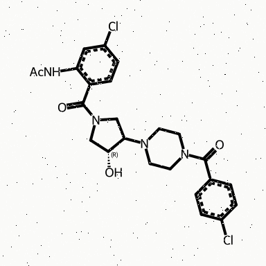 CC(=O)Nc1cc(Cl)ccc1C(=O)N1CC(N2CCN(C(=O)c3ccc(Cl)cc3)CC2)[C@H](O)C1